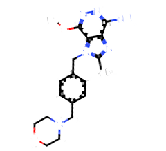 CCCCc1nc2c(N)nnc(OC(C)C)c2n1Cc1ccc(CN2CCOCC2)cc1